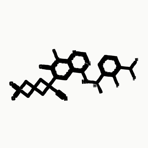 C[C@@H](Nc1ncnc2c1cc(C1(C#N)CC3(C1)CS(=O)(=O)C3)c(=O)n2C)c1cccc(C(F)F)c1F